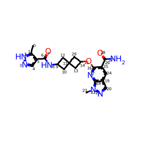 Cc1[nH]ncc1C(=O)NC1CC2(C1)CC(Oc1nc3c(cnn3C)cc1C(N)=O)C2